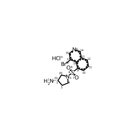 Cl.N[C@H]1CCN(S(=O)(=O)c2cccc3cncc(Br)c23)C1